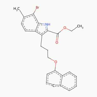 CCOC(=O)c1[nH]c2c(Br)c(C)ccc2c1CCCOc1cccc2ccccc12